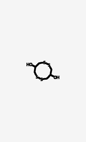 OC1CSSCC(O)CSSC1